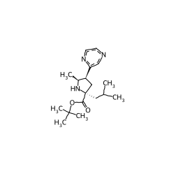 CC(C)C[C@@]1(C(=O)OC(C)(C)C)C[C@H](c2cnccn2)[C@H](C)N1